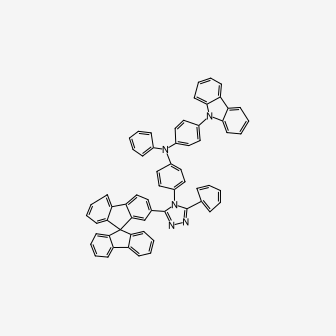 c1ccc(-c2nnc(-c3ccc4c(c3)C3(c5ccccc5-c5ccccc53)c3ccccc3-4)n2-c2ccc(N(c3ccccc3)c3ccc(-n4c5ccccc5c5ccccc54)cc3)cc2)cc1